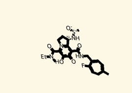 CCN(C)C(=O)c1c(O)c(=O)c(C(=O)NCC2=CC=C(C)CC=C2F)c2n1CC[C@@H]2N[S+](C)[O-]